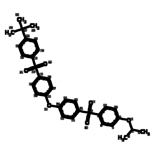 CC(C)Oc1ccc(S(=O)(=O)c2ccc(Oc3ccc(S(=O)(=O)c4ccc(C(C)(C)C)cc4)cc3)cc2)cc1